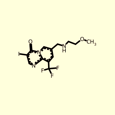 COCCNCc1cc(C(F)(F)F)c2ncc(I)c(=O)n2c1